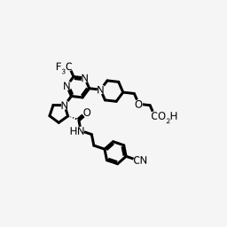 N#Cc1ccc(CCNC(=O)[C@@H]2CCCN2c2cc(N3CCC(COCC(=O)O)CC3)nc(C(F)(F)F)n2)cc1